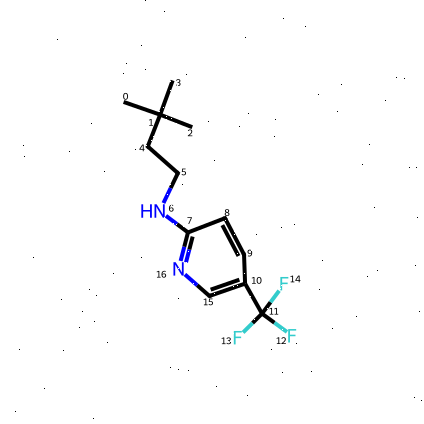 CC(C)(C)CCNc1ccc(C(F)(F)F)cn1